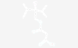 CC(C)C(Cl)(COC(=O)CC(=O)O)C(C)C